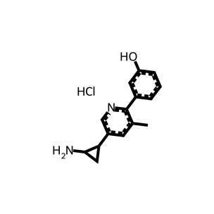 Cc1cc(C2CC2N)cnc1-c1cccc(O)c1.Cl